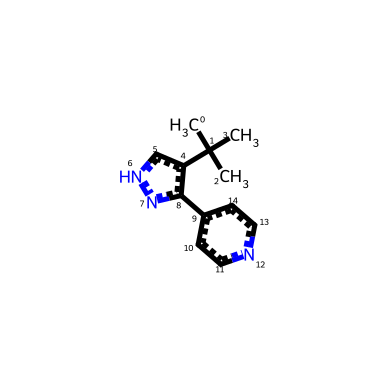 CC(C)(C)c1c[nH]nc1-c1ccncc1